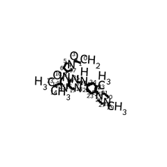 C=CC(=O)N1CCC(n2c(=O)c(C(C)C)nc3cnc(Nc4ccc(N5CCN(C)CC5)c(C)c4)nc32)C1